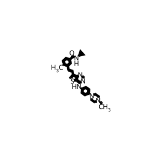 CCN1CCN(c2ccc(Nc3ncnc4c(/C=C/c5cc(C(=O)NC6CC6)ccc5C)csc34)cc2)CC1